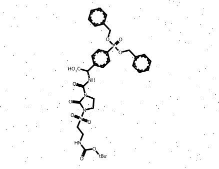 CC(C)(C)OC(=O)NCCS(=O)(=O)N1CCN(C(=O)NC(C(=O)O)c2ccc(P(=O)(OCc3ccccc3)OCc3ccccc3)cc2)C1=O